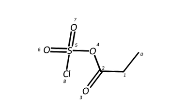 CCC(=O)OS(=O)(=O)Cl